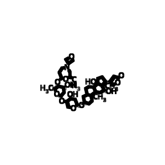 CC1CN(C2COC2)CCC(O[C@@H]2[C@H](C)O[C@@H](OC3=CO[C@@H](O[C@H]4CC[C@@]5(C)C(CCC6C5C[C@H](O)[C@]5(C)[C@@H](C7=CC(=O)OC7)CC[C@]65O)C4)C[C@@H]3O)C[C@@H]2O)O1